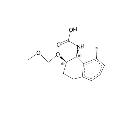 COCO[C@@H]1CCc2cccc(F)c2[C@@H]1NC(=O)O